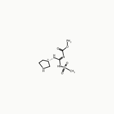 CS(=O)(=O)NC(=NC(=O)OP)N[C@H]1CCNC1